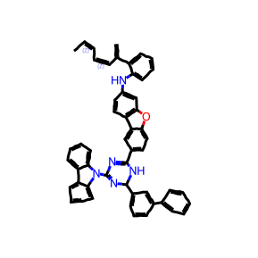 C=C(/C=C\C=C/C)c1ccccc1Nc1ccc2c(c1)oc1ccc(C3=NC(n4c5ccccc5c5ccccc54)=NC(c4cccc(-c5ccccc5)c4)N3)cc12